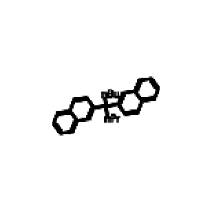 [CH2]CCC(CCCC)(c1ccc2ccccc2c1)c1ccc2ccccc2c1